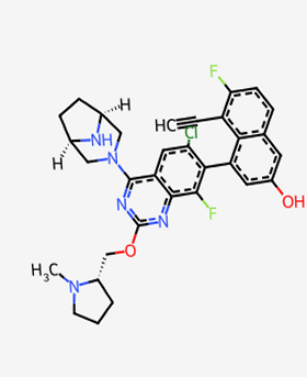 C#Cc1c(F)ccc2cc(O)cc(-c3c(Cl)cc4c(N5C[C@H]6CC[C@@H](C5)N6)nc(OC[C@@H]5CCCN5C)nc4c3F)c12